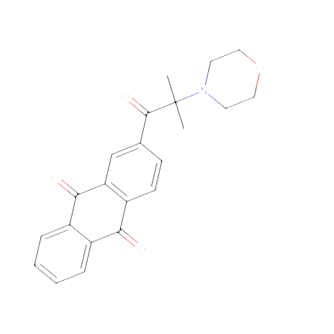 CC(C)(C(=O)c1ccc2c(c1)C(=O)c1ccccc1C2=O)N1CCOCC1